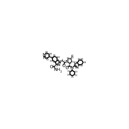 NC(=O)c1nn(CC(=O)N2C[C@H](F)C[C@H]2C(=O)N(c2ccccc2)c2nc3ccccc3s2)c2ccc(-c3ccnnc3)cc12